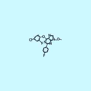 COCn1cnc2c(Oc3ccc(Cl)cc3F)nc(-c3ccc(F)cc3)nc21